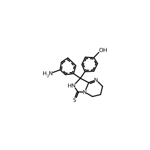 Nc1cccc(C2(c3ccc(O)cc3)NC(=S)N3CCCN=C32)c1